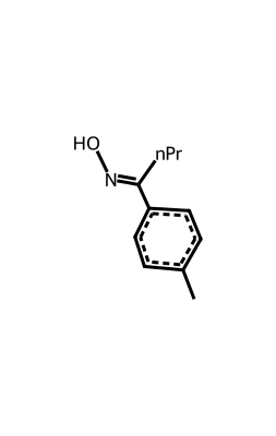 CCCC(=NO)c1ccc(C)cc1